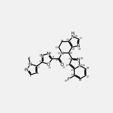 Cn1nccc1-c1nnc(C(=O)N2CCc3[nH]cnc3C2c2cc3c(F)cccn3n2)o1